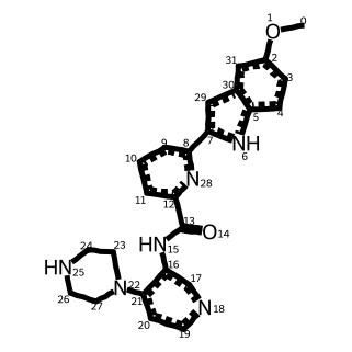 COc1ccc2[nH]c(-c3cccc(C(=O)Nc4cnccc4N4CCNCC4)n3)cc2c1